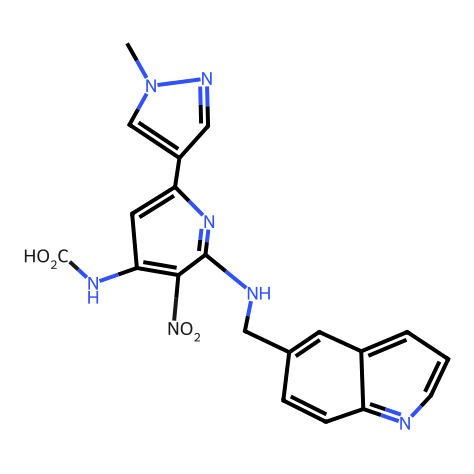 Cn1cc(-c2cc(NC(=O)O)c([N+](=O)[O-])c(NCc3ccc4ncccc4c3)n2)cn1